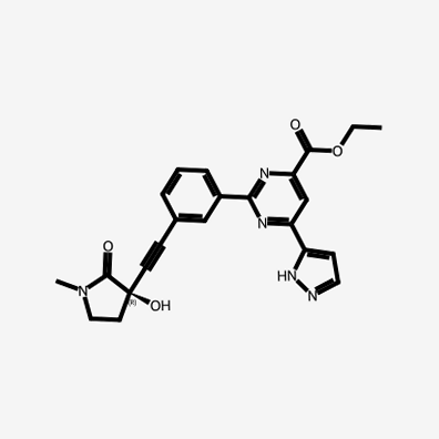 CCOC(=O)c1cc(-c2ccn[nH]2)nc(-c2cccc(C#C[C@]3(O)CCN(C)C3=O)c2)n1